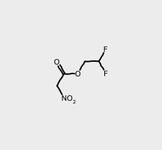 O=C(C[N+](=O)[O-])OCC(F)F